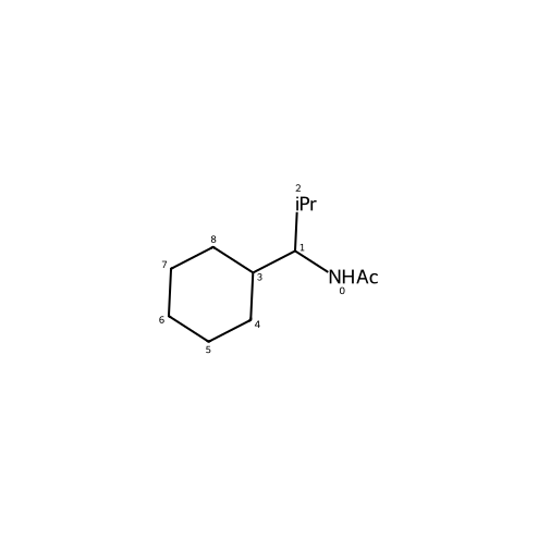 CC(=O)NC(C(C)C)C1CCCCC1